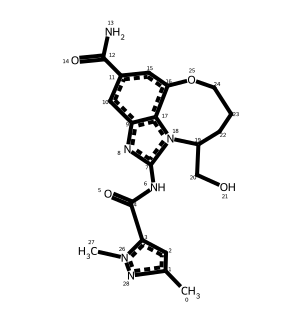 Cc1cc(C(=O)Nc2nc3cc(C(N)=O)cc4c3n2C(CO)CCCO4)n(C)n1